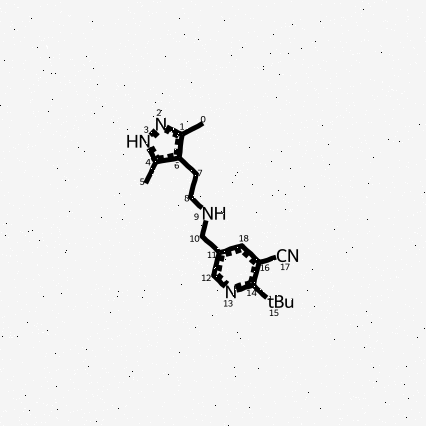 Cc1n[nH]c(C)c1CCNCc1cnc(C(C)(C)C)c(C#N)c1